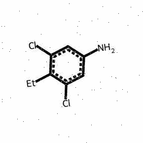 CCc1c(Cl)cc(N)cc1Cl